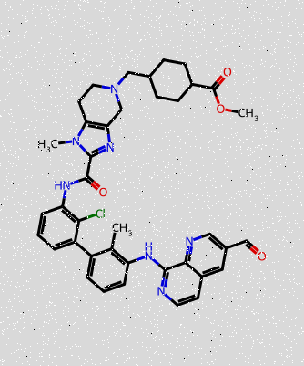 COC(=O)C1CCC(CN2CCc3c(nc(C(=O)Nc4cccc(-c5cccc(Nc6nccc7cc(C=O)cnc67)c5C)c4Cl)n3C)C2)CC1